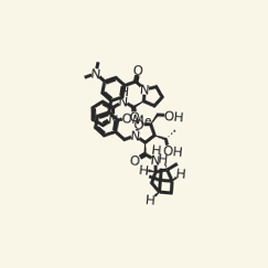 COc1c(CN2O[C@@H](CO)[C@@H]([C@H](C)O)[C@H]2C(=O)N[C@H]2C[C@H]3C[C@@H]([C@@H]2C)C3(C)C)cccc1-c1cc(C(=O)N2CCC[C@H]2C(=O)Nc2ccccn2)cc(N(C)C)c1